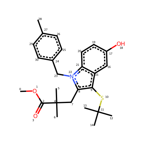 COC(=O)C(C)(C)Cc1c(SC(C)(C)C)c2cc(O)ccc2n1Cc1ccc(C)cc1